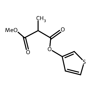 COC(=O)C(C)C(=O)Oc1ccsc1